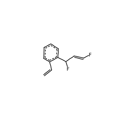 C=Cc1ccccc1C(F)C=CF